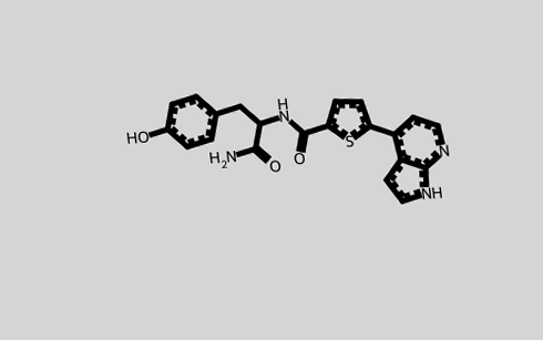 NC(=O)C(Cc1ccc(O)cc1)NC(=O)c1ccc(-c2ccnc3[nH]ccc23)s1